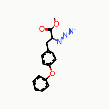 COC(=O)C(Cc1ccc(Oc2ccccc2)cc1)N=[N+]=[N-]